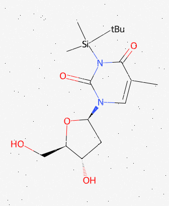 Cc1cn([C@H]2C[C@H](O)[C@@H](CO)O2)c(=O)n([Si](C)(C)C(C)(C)C)c1=O